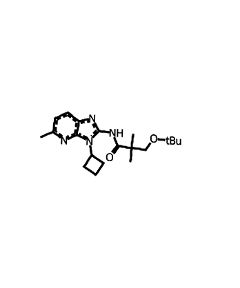 Cc1ccc2nc(NC(=O)C(C)(C)COC(C)(C)C)n(C3CCC3)c2n1